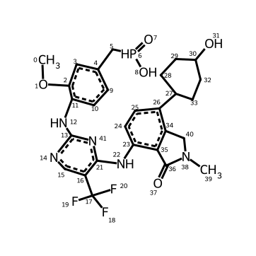 COc1cc(C[PH](=O)O)ccc1Nc1ncc(C(F)(F)F)c(Nc2ccc(C3CCC(O)CC3)c3c2C(=O)N(C)C3)n1